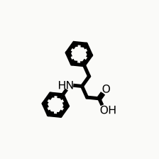 O=C(O)CC(Cc1ccccc1)Nc1ccccc1